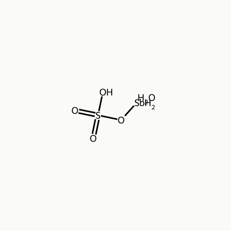 O.O=S(=O)(O)[O][SbH2]